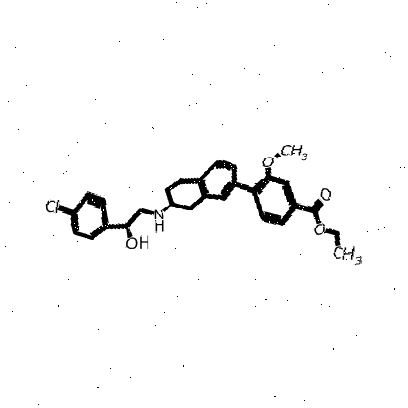 CCOC(=O)c1ccc(-c2ccc3c(c2)C[C@@H](NC[C@@H](O)c2ccc(Cl)cc2)CC3)c(OC)c1